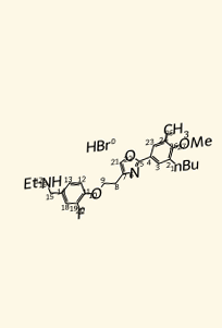 Br.CCCCc1cc(-c2nc(CCOc3ccc(CNCC)cc3F)co2)cc(C)c1OC